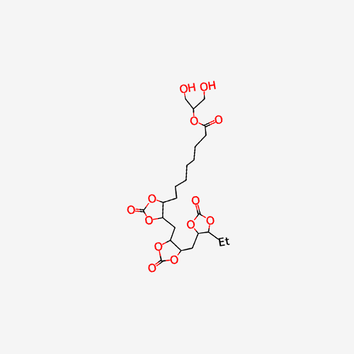 CCC1OC(=O)OC1CC1OC(=O)OC1CC1OC(=O)OC1CCCCCCCC(=O)OC(CO)CO